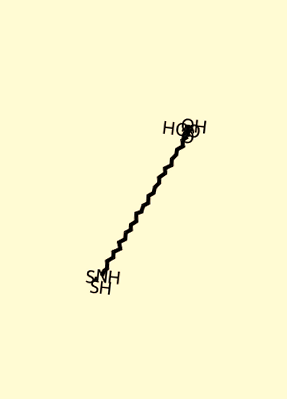 O=P(O)(O)OCCCCCCCCCCCCCCCCCCCCCCCCCCCCCNC(=S)S